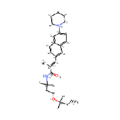 COCC(C)(C)OCCC(C)(C)NC(=O)/C(C#N)=C/c1ccc2cc(N3CCCCC3)ccc2c1